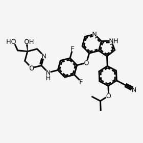 CC(C)Oc1ccc(-c2c[nH]c3nccc(Oc4c(F)cc(NC5=NC[C@@](O)(CO)CO5)cc4F)c23)cc1C#N